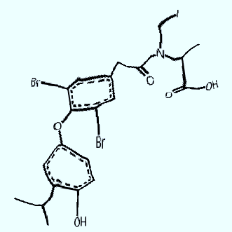 CC(C)c1cc(Oc2c(Br)cc(CC(=O)N(CI)C(C)C(=O)O)cc2Br)ccc1O